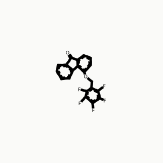 O=C1c2ccccc2-c2c(OCc3c(F)c(F)c(F)c(F)c3F)cccc21